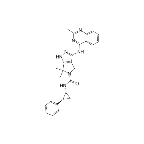 Cc1nc(Nc2n[nH]c3c2CN(C(=O)N[C@@H]2C[C@H]2c2ccccc2)C3(C)C)c2ccccc2n1